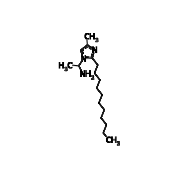 CCCCCCCCCCCc1nc(C)cn1C(C)N